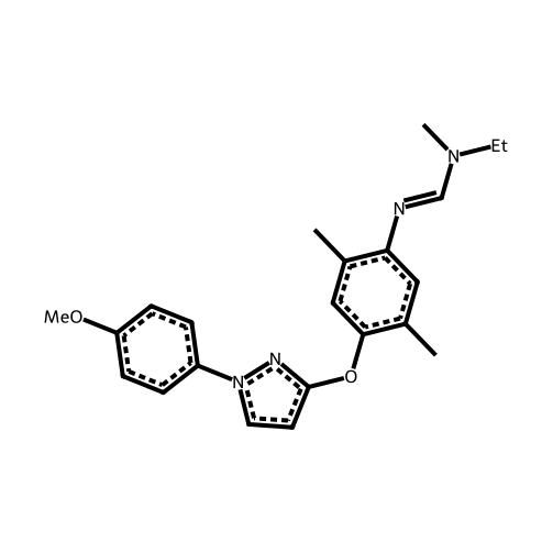 CCN(C)C=Nc1cc(C)c(Oc2ccn(-c3ccc(OC)cc3)n2)cc1C